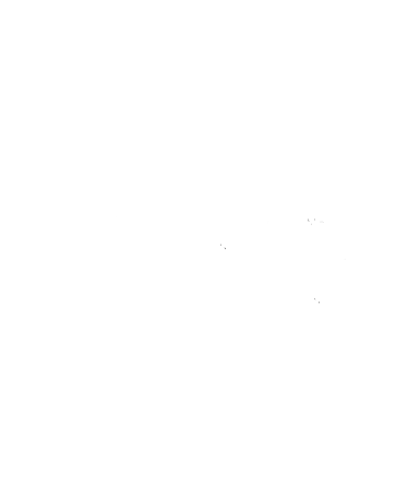 COC(=O)C(Cc1cscn1)NCc1ccc(C(=O)O)cc1